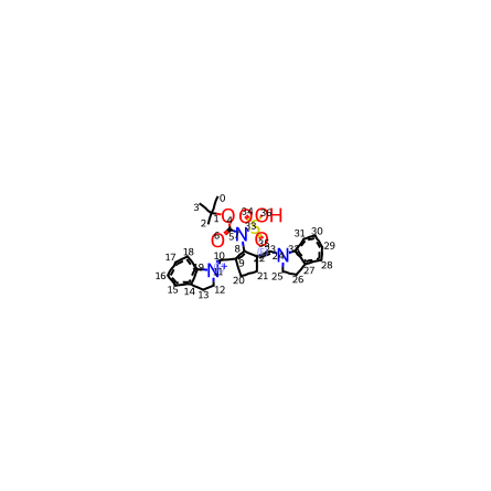 CC(C)(C)OC(=O)N(C1=C(/C=[N+]2\CCc3ccccc32)CC/C1=C\N1CCc2ccccc21)S(=O)(=O)O